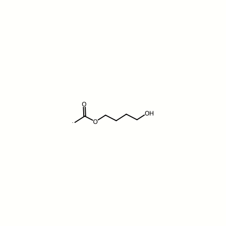 [CH2]C(=O)OCCCCO